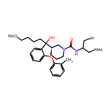 CNCC(CC(C)C)NC(=O)N1CCC[C@@H]([C@@](O)(CCCCOC)c2ccccc2Oc2ccccc2C)C1